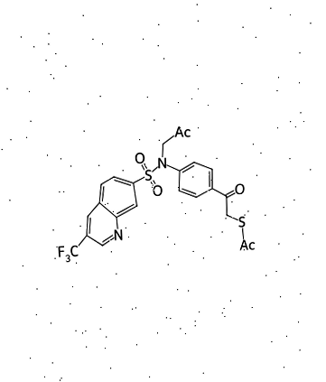 CC(=O)CN(c1ccc(C(=O)CSC(C)=O)cc1)S(=O)(=O)c1ccc2cc(C(F)(F)F)cnc2c1